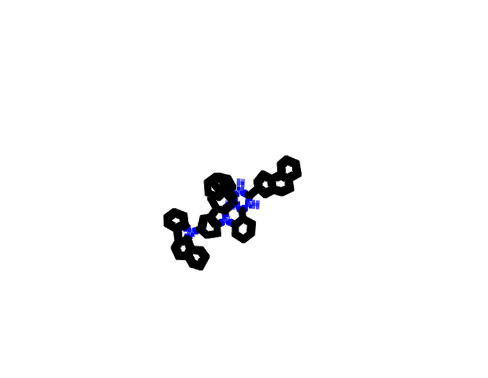 C1=CCCC(C2NC(c3ccc4c(ccc5ccccc54)c3)NC(C3C=CCCC3N3C4=CC5=CC=CCC5CC4C4=C3CCC(n3c5ccccc5c5ccc6ccccc6c53)=C4)N2)=C1